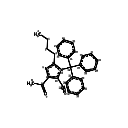 CCCCc1nc(C(C)=O)c(C#N)n1C(c1ccccc1)(c1ccccc1)c1ccccc1